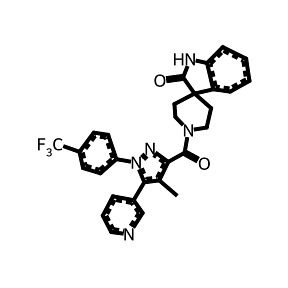 Cc1c(C(=O)N2CCC3(CC2)C(=O)Nc2ccccc23)nn(-c2ccc(C(F)(F)F)cc2)c1-c1cccnc1